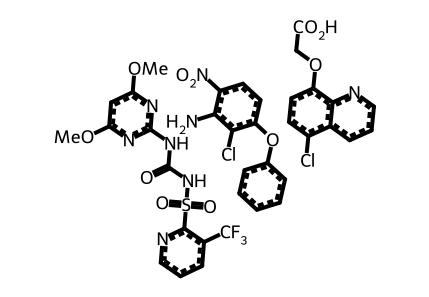 COc1cc(OC)nc(NC(=O)NS(=O)(=O)c2ncccc2C(F)(F)F)n1.Nc1c([N+](=O)[O-])ccc(Oc2ccccc2)c1Cl.O=C(O)COc1ccc(Cl)c2cccnc12